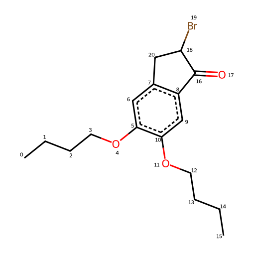 CCCCOc1cc2c(cc1OCCCC)C(=O)C(Br)C2